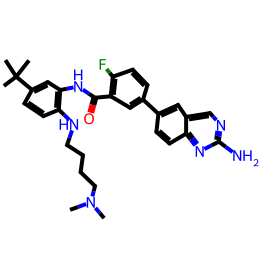 CN(C)CCCCNc1ccc(C(C)(C)C)cc1NC(=O)c1cc(-c2ccc3nc(N)ncc3c2)ccc1F